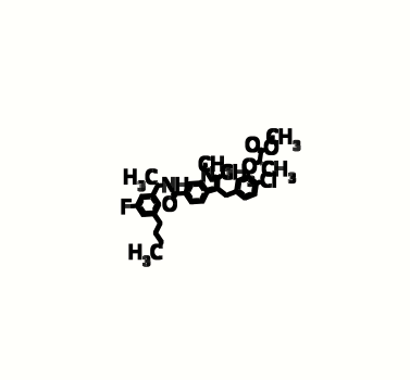 CCCCc1cc(F)cc([C@H](C)NC(=O)c2ccc3c(Cc4ccc(Cl)c(O[C@@H](C)C(=O)OC)c4)c(C)n(C)c3c2)c1